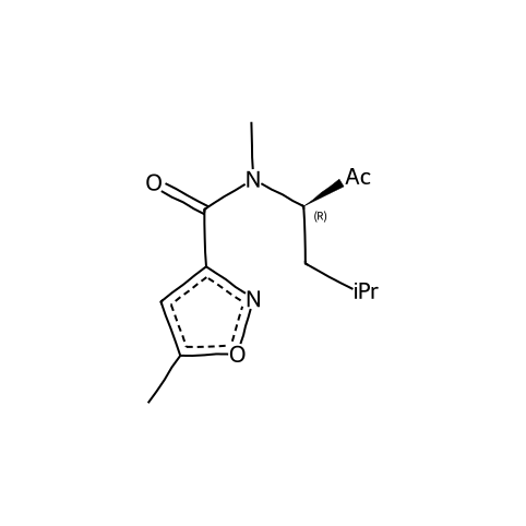 CC(=O)[C@@H](CC(C)C)N(C)C(=O)c1cc(C)on1